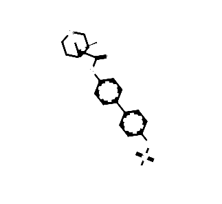 CS(=O)(=O)Nc1ccc(-c2ccc(NC(=O)[C@H]3CN4CCC3CC4)cc2)cc1